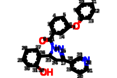 O=C(c1cccc(Oc2ccccc2)c1)N1N=C(c2cccnc2)CC1c1ccccc1O